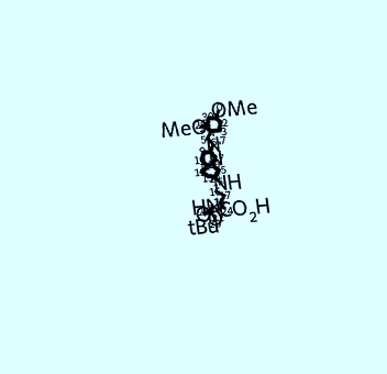 COc1ccc(CN(C)c2ccc3ccc(NCCC(NC(=O)OC(C)(C)C)C(=O)O)cc3n2)c(OC)c1